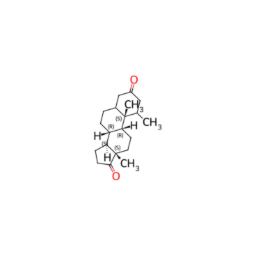 CC1CC(=O)CC2CC[C@@H]3[C@@H](CC[C@]4(C)C(=O)CC[C@@H]34)[C@@]12C